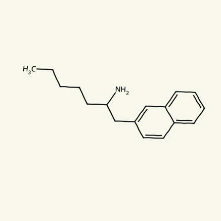 CCCCCC(N)Cc1ccc2ccccc2c1